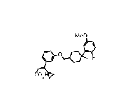 COc1ccc(F)c(C2(F)CCC(COc3cccc(C(CC(=O)O)C4CC4)c3)CC2)c1